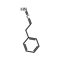 N=C=CCc1ccccc1